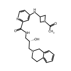 CC(=O)N1CC(Nc2ccnc(C(=O)NC[C@H](O)CN3CCc4ccccc4C3)c2)C1